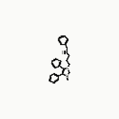 CN1CN(CCCNCc2ccccc2)C(c2ccccc2)=C1c1ccccc1